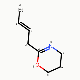 CCC=CCC1=NCCCO1